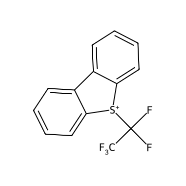 FC(F)(F)C(F)(F)[s+]1c2ccccc2c2ccccc21